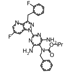 CC(C)OC(=O)N(Cc1ccccc1)c1c(N)nc(-n2nc(Cc3ccccc3F)c3ncc(F)cc32)nc1N